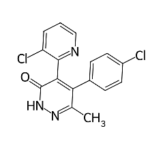 Cc1n[nH]c(=O)c(-c2ncccc2Cl)c1-c1ccc(Cl)cc1